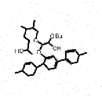 CC(C)COC(O)C(OCC(C)C(C)CCC(C)O)OC1=CC(C2=CCC(C)C=C2)=CCC1C1C=CC(C)CC1